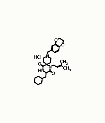 CC(C)=CCN1C(=O)C(CC2CCCCC2)NC(=O)C12CCN(Cc1ccc3c(c1)OCCO3)CC2.Cl